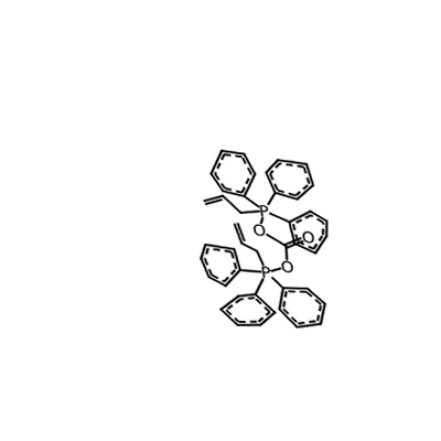 C=CCP(OC(=O)OP(CC=C)(c1ccccc1)(c1ccccc1)c1ccccc1)(c1ccccc1)(c1ccccc1)c1ccccc1